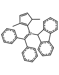 CC1=[C]([Zr](=[C](c2ccccc2)c2ccccc2)[CH]2c3ccccc3-c3ccccc32)C(C)C=C1